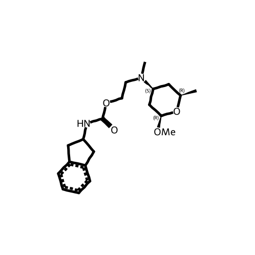 CO[C@H]1C[C@@H](N(C)CCOC(=O)NC2Cc3ccccc3C2)C[C@@H](C)O1